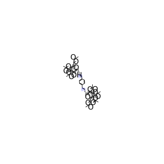 CC(=O)OC[C@H]1O[C@H](C/C=C/c2ccc(/C=C/C[C@H]3O[C@H](COC(C)=O)[C@@H](OC(C)=O)[C@H](OC(C)=O)[C@@H]3O)cc2)[C@@H](OC(C)=O)[C@@H](OC(C)=O)[C@@H]1OC(C)=O